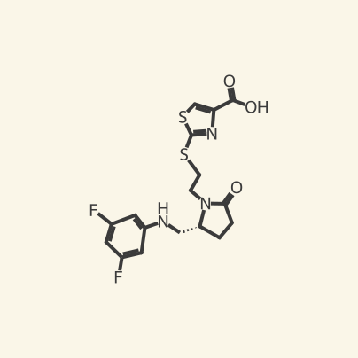 O=C(O)c1csc(SCCN2C(=O)CC[C@@H]2CNc2cc(F)cc(F)c2)n1